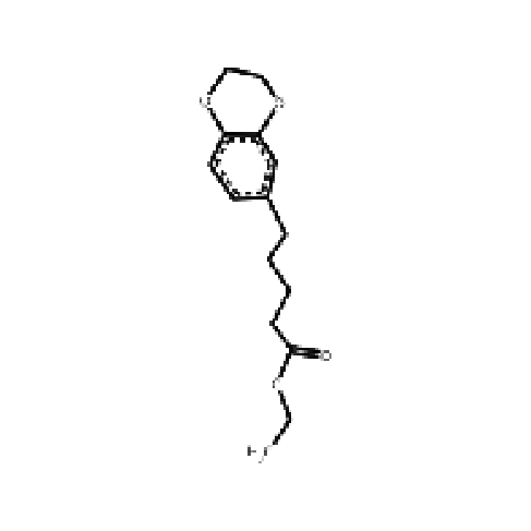 CCOC(=O)CCCCc1ccc2c(c1)OCCO2